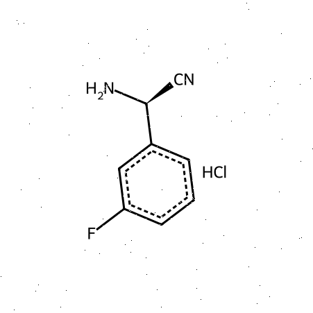 Cl.N#C[C@H](N)c1cccc(F)c1